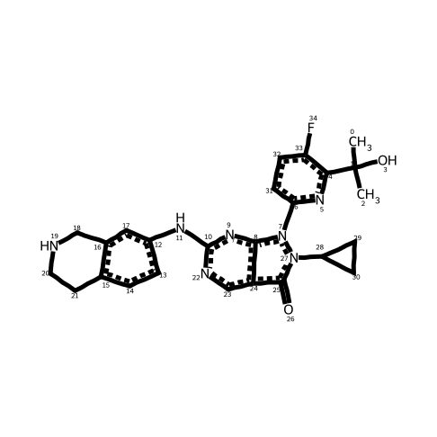 CC(C)(O)c1nc(-n2c3nc(Nc4ccc5c(c4)CNCC5)ncc3c(=O)n2C2CC2)ccc1F